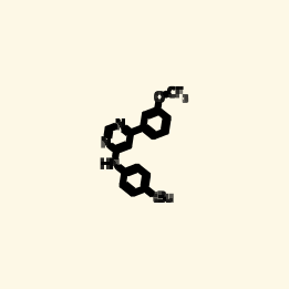 CC(C)(C)c1ccc(Nc2cc(-c3cccc(OC(F)(F)F)c3)ncn2)cc1